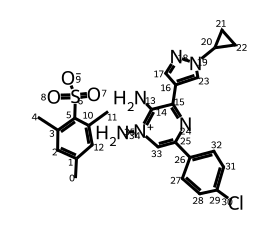 Cc1cc(C)c(S(=O)(=O)[O-])c(C)c1.Nc1c(-c2cnn(C3CC3)c2)nc(-c2ccc(Cl)cc2)c[n+]1N